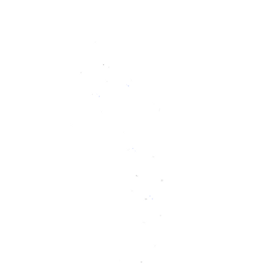 CCc1nc(C(F)(F)F)nc(C)c1S(=O)(=O)N1CC2(CN(CC3CCOCC3)C2)C1